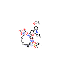 COc1ccc2nc(C)c3c(c2c1)CC[C@]1(C[C@H]2C(=O)N[C@]4(C(=O)NS(=O)(=O)C5(C)CC5)C[C@H]4/C=C\CCCCC[C@H](N(C(=O)O)C4(C)COC4)C(=O)N2C1)O3